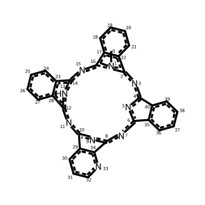 Cn1c2nc3nc(nc4nc(nc5[nH]c(nc1c1ccccc12)c1ccccc51)-c1cccnc1-4)-c1ccccc1-3